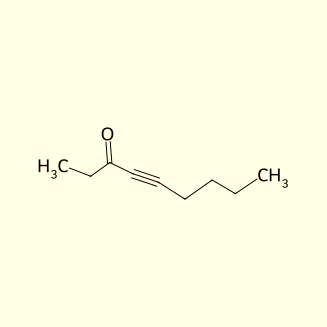 CCCCC#CC(=O)CC